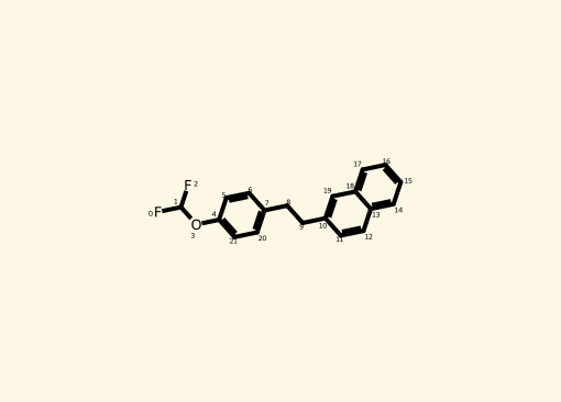 FC(F)Oc1ccc(CCc2ccc3ccccc3c2)cc1